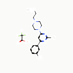 N#Cc1nc(-c2cccc(C(F)(F)F)c2)cc(N2CCN(CCC(=O)O)CC2)n1.O=C(O)C(F)(F)F